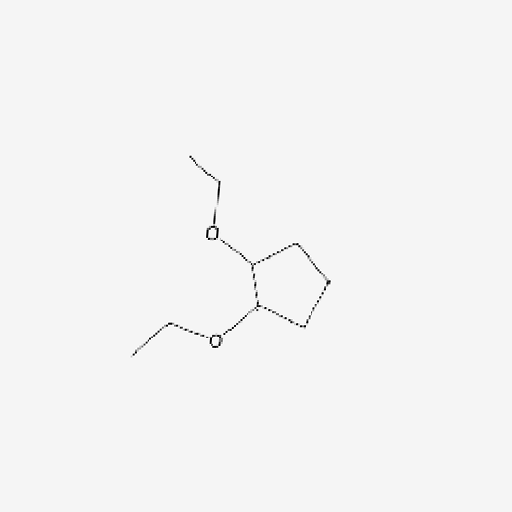 CCO[C]1CCCC1OCC